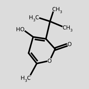 Cc1cc(O)c(C(C)(C)C)c(=O)o1